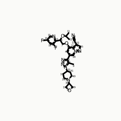 Cc1c(-c2cc(OCC(OC(C)C)c3ncc(F)cc3F)c3c(C#N)cnn3c2)nnn1C1CCN(C2COC2)CC1